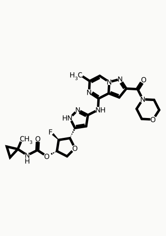 Cc1cn2nc(C(=O)N3CCOCC3)cc2c(Nc2cc([C@@H]3OC[C@H](OC(=O)NC4(C)CC4)[C@H]3F)[nH]n2)n1